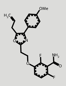 C=CCc1oc(CCOc2ccc(F)c(C(N)=O)c2F)nc1-c1ccc(OC)cc1